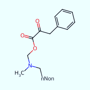 CCCCCCCCCCN(C)COC(=O)C(=O)Cc1ccccc1